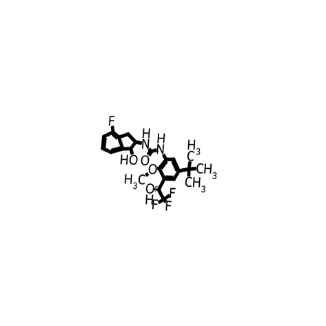 COc1c(NC(=O)NC2Cc3c(F)cccc3C2O)cc(C(C)(C)C)cc1[C@@H](O)C(F)(F)F